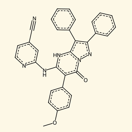 COc1ccc(-c2c(Nc3cc(C#N)ccn3)[nH]c3c(-c4ccccc4)c(-c4ccccc4)nn3c2=O)cc1